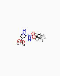 COC(=O)C1CCNC(CNC(=O)OC(C)(C)C)C1